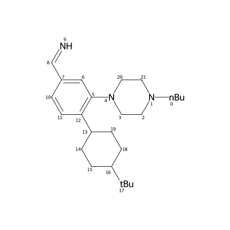 CCCCN1CCN(c2cc(C=N)ccc2C2CCC(C(C)(C)C)CC2)CC1